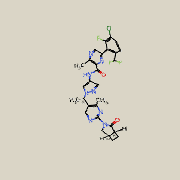 Cc1nc(N2C[C@H]3CC[C@H]3C2=O)ncc1[C@H](C)n1cc(NC(=O)c2nc(-c3c(C(F)F)ccc(Cl)c3F)cnc2C)cn1